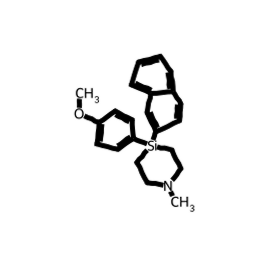 COc1ccc([Si]2(c3ccc4ccccc4c3)CCN(C)CC2)cc1